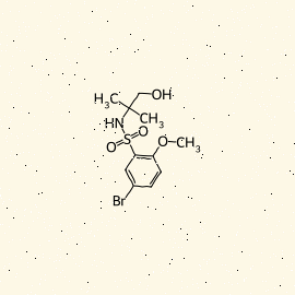 COc1ccc(Br)cc1S(=O)(=O)NC(C)(C)CO